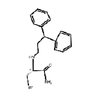 CC(C)C[C@H](NCCC(c1ccccc1)c1ccccc1)C(N)=O